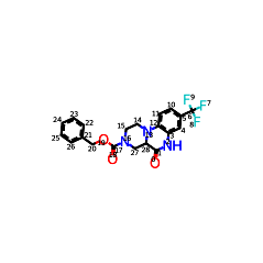 O=C1Nc2cc(C(F)(F)F)ccc2N2CCN(C(=O)OCc3ccccc3)CC12